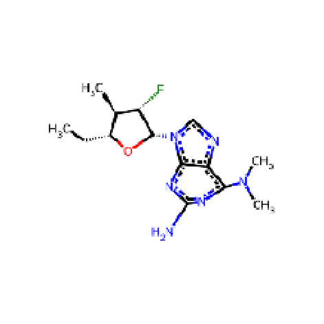 CC[C@H]1O[C@@H](n2cnc3c(N(C)C)nc(N)nc32)[C@@H](F)[C@@H]1C